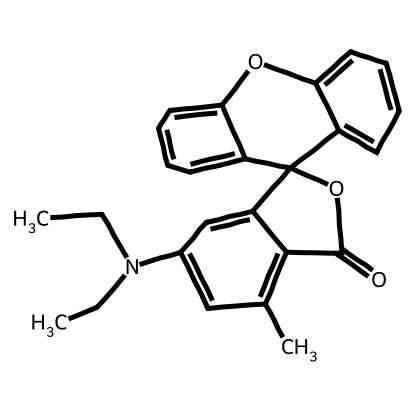 CCN(CC)c1cc(C)c2c(c1)C1(OC2=O)c2ccccc2Oc2ccccc21